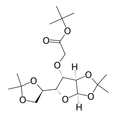 CC(C)(C)OC(=O)CO[C@@H]1[C@H]2OC(C)(C)O[C@H]2O[C@@H]1[C@H]1COC(C)(C)O1